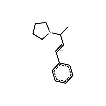 CC(/C=C/c1ccccc1)N1CCCC1